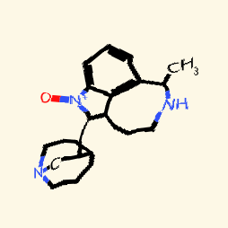 CC1NCCC2c3c1cccc3[N+](=O)[C@@H]2C1CN2CCC1CC2